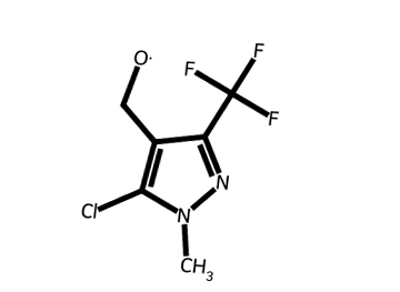 Cn1nc(C(F)(F)F)c(C[O])c1Cl